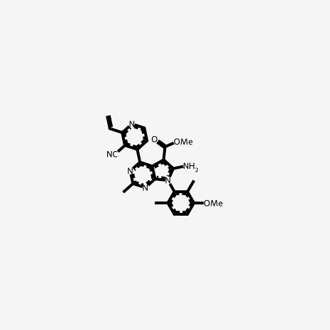 C=Cc1nccc(-c2nc(C)nc3c2c(C(=O)OC)c(N)n3-c2c(C)ccc(OC)c2C)c1C#N